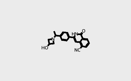 CC(c1ccc(-c2cc3c(C#N)cccc3c(=O)[nH]2)cc1)N1CC(O)C1